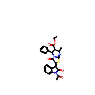 CCOC(=O)C1C(C)N=c2s/c(=C3\C(=O)N(C(C)=O)c4ccccc43)c(=O)n2C1c1ccccc1